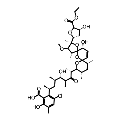 CCOC(=O)C1O[C@@H]([C@@]2(C)OC3(O[C@]4(C=C[C@H]3O)O[C@H]([C@@H](C)C(=O)[C@@H](C)[C@@H](O)[C@H](C)C[C@H](C)c3c(Cl)cc(C)c(O)c3C(=O)O)[C@@H](C)C[C@H]4C)[C@H](C)[C@H]2OC)C[C@H]1O